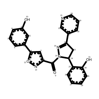 O=C(c1cc(-c2cccc(O)c2)on1)N1N=C(c2cccnc2)CC1c1ccccc1O